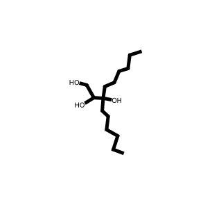 CCCCCCC(O)(CCCCCC)C(O)CO